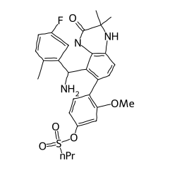 CCCS(=O)(=O)Oc1ccc(-c2ccc3c(c2C(N)c2cc(F)ccc2C)N(C)C(=O)C(C)(C)N3)c(OC)c1